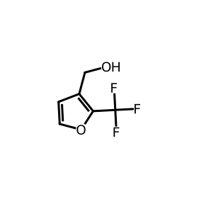 OCc1ccoc1C(F)(F)F